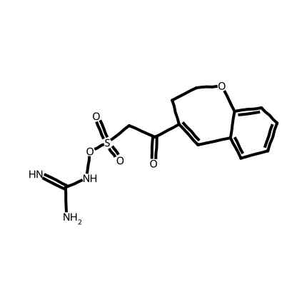 N=C(N)NOS(=O)(=O)CC(=O)C1=Cc2ccccc2OCC1